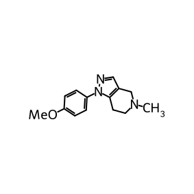 COc1ccc(-n2ncc3c2CCN(C)C3)cc1